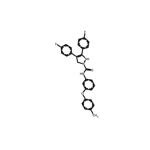 Cc1ccc(Oc2cccc(NC(=O)N3CC(c4ccc(F)cc4)=C(c4ccc(F)cc4)N3)c2)cc1